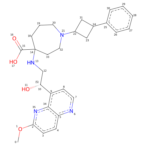 COc1ccc2nccc([C@H](O)CNC3(C(=O)O)CCCN(C4CC(c5ccccc5)C4)CC3)c2n1